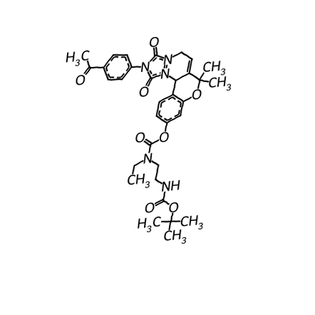 CCN(CCNC(=O)OC(C)(C)C)C(=O)Oc1ccc2c(c1)OC(C)(C)C1=CCn3c(=O)n(-c4ccc(C(C)=O)cc4)c(=O)n3C12